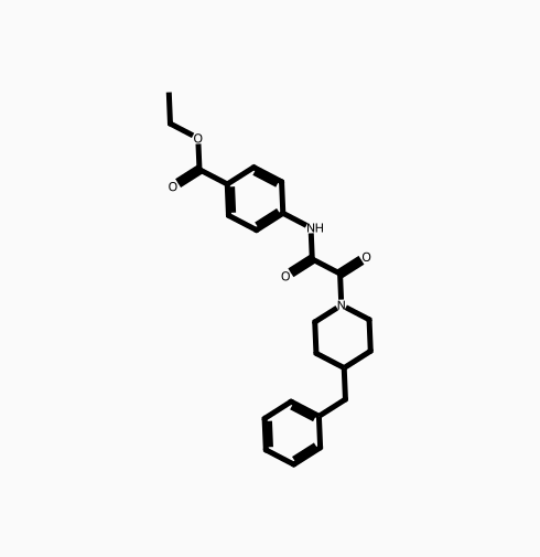 CCOC(=O)c1ccc(NC(=O)C(=O)N2CCC(Cc3ccccc3)CC2)cc1